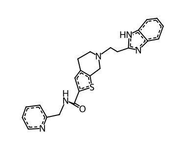 O=C(NCc1ccccn1)c1cc2c(s1)CN(CCc1nc3ccccc3[nH]1)CC2